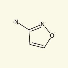 [N]c1ccon1